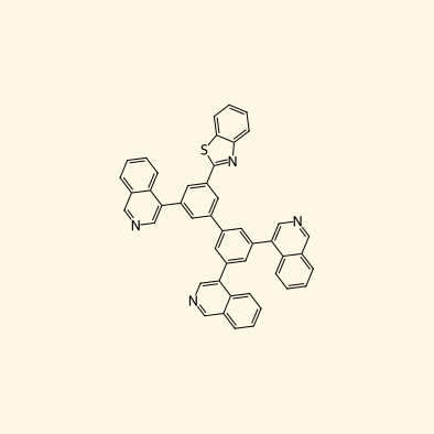 c1ccc2c(-c3cc(-c4cc(-c5cncc6ccccc56)cc(-c5cncc6ccccc56)c4)cc(-c4nc5ccccc5s4)c3)cncc2c1